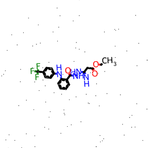 CCOC(=O)CC(=N)NNC(=O)c1ccccc1Nc1ccc(C(F)(F)F)cc1